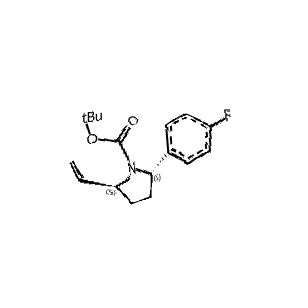 C=C[C@@H]1CC[C@@H](c2ccc(F)cc2)N1C(=O)OC(C)(C)C